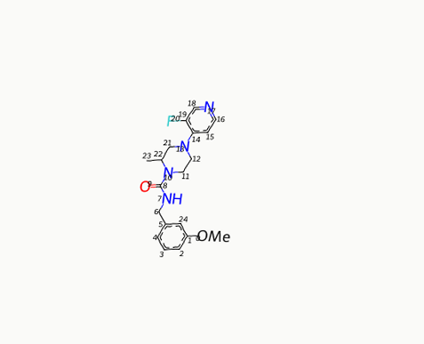 COc1cccc(CNC(=O)N2CCN(c3ccncc3F)CC2C)c1